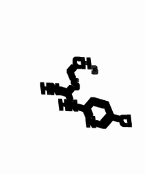 CCSC(=N)Nc1ccc(Cl)cn1